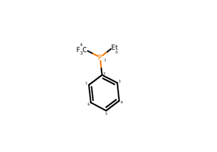 CCP(c1ccccc1)C(F)(F)F